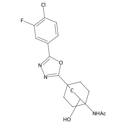 CC(=O)NC12CCC(c3nnc(-c4ccc(Cl)c(F)c4)o3)(CC1)CC2O